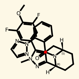 COc1c(F)cc(-c2c3c(nn2C)[C@H]2CCC[C@@H](C3)N2C(=O)c2ccccc2-n2nccn2)cc1F